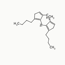 CCCCC1=[C]([Zr][C]2=C(CCCC)CC=C2C)C(C)=CC1